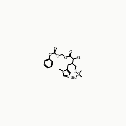 CCC(C(=O)OCOC(=O)Oc1ccccc1)C(CO[Si](C)(C)C(C)(C)C)Cc1cncn1C